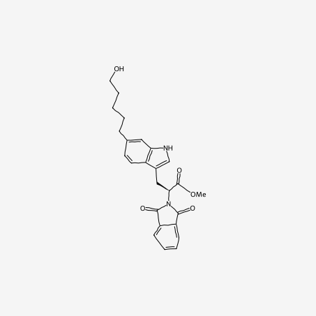 COC(=O)[C@H](Cc1c[nH]c2cc(CCCCCO)ccc12)N1C(=O)c2ccccc2C1=O